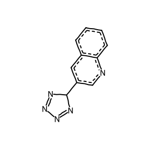 c1ccc2ncc(C3N=NN=N3)cc2c1